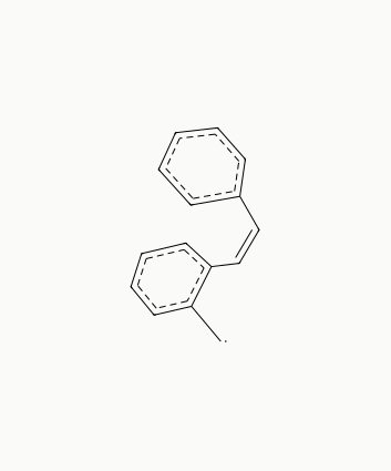 [CH2]c1ccccc1/C=C\c1ccccc1